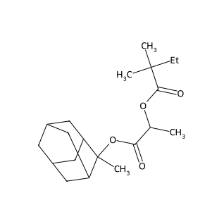 CCC(C)(C)C(=O)OC(C)C(=O)OC1(C)C2CC3CC(C2)CC1C3